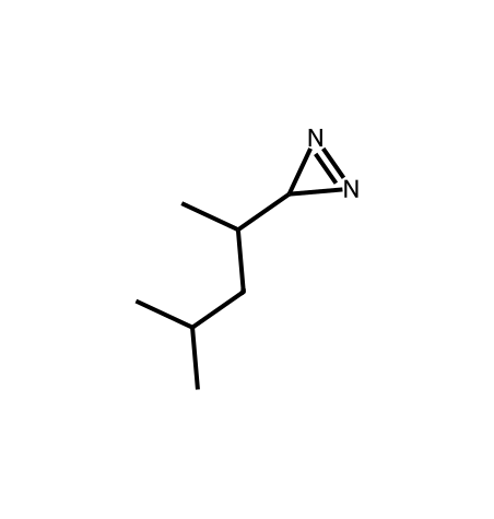 CC(C)CC(C)C1N=N1